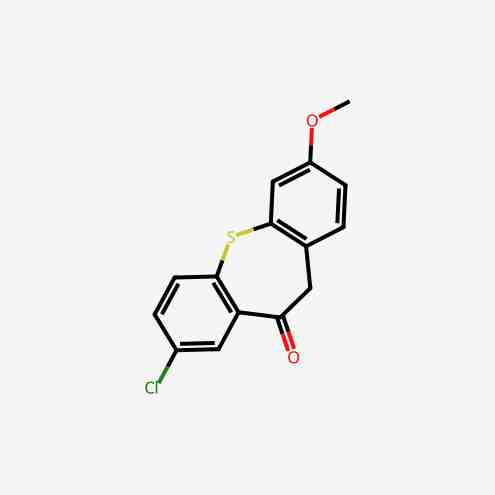 COc1ccc2c(c1)Sc1ccc(Cl)cc1C(=O)C2